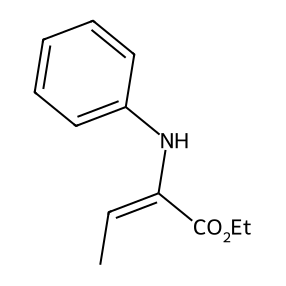 CC=C(Nc1ccccc1)C(=O)OCC